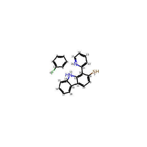 Fc1ccccc1.Sc1ccc2c([nH]c3ccccc32)c1-c1ccccn1